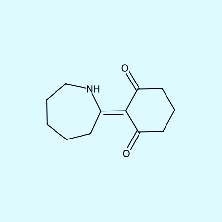 O=C1CCCC(=O)C1=C1CCCCCN1